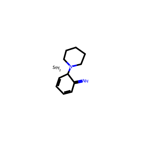 N=C1C=CC=CC1N1CCCCC1.[SrH2]